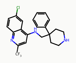 FC(F)(F)c1cc(NCC2(c3ccccc3)CCNCC2)c2cc(Cl)ccc2n1